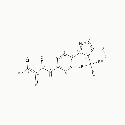 CCc1cnn(-c2ccc(NC(=O)/C(Cl)=C(/C)Cl)cc2)c1C(F)(F)F